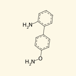 NOc1ccc(-c2ccccc2N)cc1